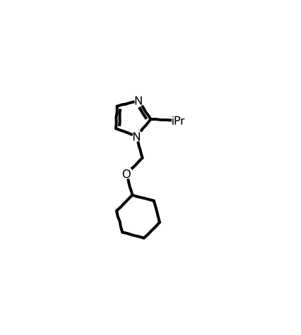 CC(C)c1nccn1COC1CCCCC1